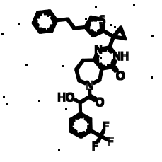 O=C([C@H](O)c1cccc(C(F)(F)F)c1)N1CCCc2nc(C3(c4cc(CCc5ccccc5)cs4)CC3)[nH]c(=O)c2C1